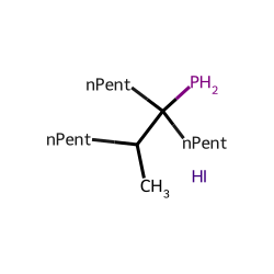 CCCCCC(C)C(P)(CCCCC)CCCCC.I